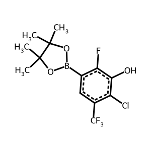 CC1(C)OB(c2cc(C(F)(F)F)c(Cl)c(O)c2F)OC1(C)C